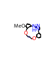 COc1ccc2cc1COC/C=C/COc1cccc(c1)-c1ccnc(n1)N2